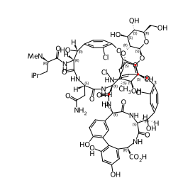 CN[C@H](CC(C)C)C(=O)N[C@H]1C(=O)N[C@@H](CC(N)=O)C(=O)N[C@H]2C(=O)N[C@H]3C(=O)N[C@H](C(=O)N[C@@H](C(=O)O)c4cc(O)cc(O)c4-c4cc3ccc4O)[C@H](O)c3ccc(c(Cl)c3)Oc3cc2cc(c3O[C@@H]2O[C@H](CO)[C@@H](O)[C@H](O)[C@H]2O[C@H]2C[C@](C)(NCl)[C@H](O)[C@H](C)O2)Oc2ccc(cc2Cl)[C@H]1O